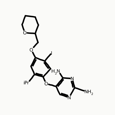 CC(C)c1cc(OCC2CCCCO2)c(I)cc1Oc1cnc(N)nc1N